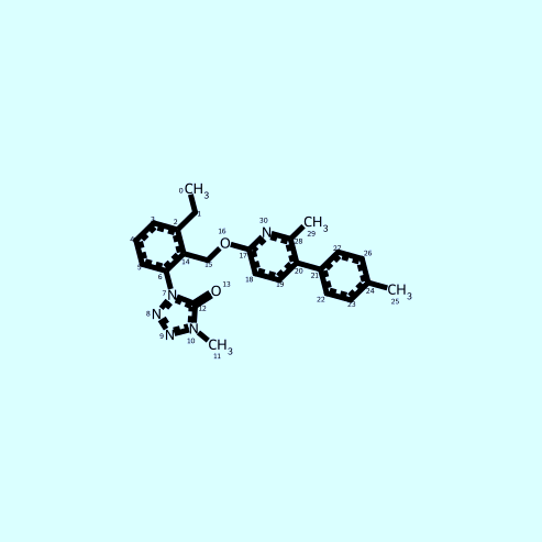 CCc1cccc(-n2nnn(C)c2=O)c1COc1ccc(-c2ccc(C)cc2)c(C)n1